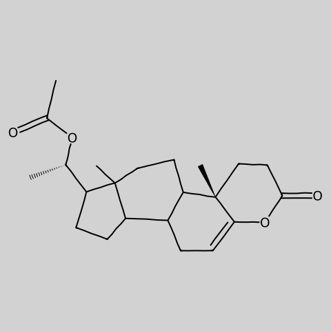 CC(=O)O[C@@H](C)C1CCC2C3CC=C4OC(=O)CC[C@@]4(C)C3CCC21C